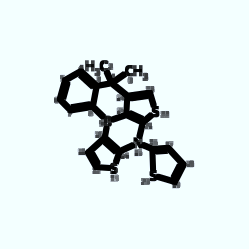 CC1(C)c2ccccc2B2c3ccsc3N(c3cccs3)c3scc1c32